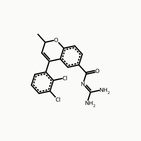 CC1C=C(c2cccc(Cl)c2Cl)c2cc(C(=O)N=C(N)N)ccc2O1